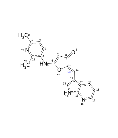 Cc1ccc(NC2=CC(=O)/C(=C/c3c[nH]c4ncccc34)O2)c(C)n1